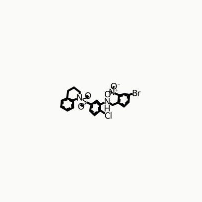 O=[N+]([O-])c1cc(Br)ccc1CNc1cc(S(=O)(=O)N2CCCc3ccccc32)ccc1Cl